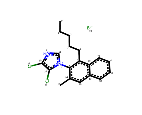 CCCCCc1c(-[n+]2c[nH]c(Cl)c2Cl)c(C)cc2ccccc12.[Br-]